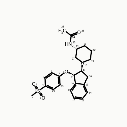 CS(=O)(=O)c1ccc(O[C@@H]2c3ccccc3C[C@@H]2N2CCC[C@@H](NC(=O)C(F)(F)F)C2)cc1